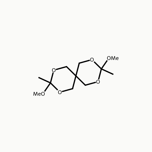 COC1(C)OCC2(CO1)COC(C)(OC)OC2